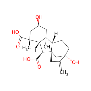 C=C1C[C@]23C[C@@]1(O)CC[C@H]2[C@]1(C)C[C@H](O)C[C@@](C)(C(=O)O)[C@H]1[C@@H]3C(=O)O